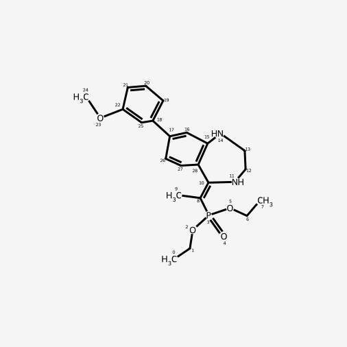 CCOP(=O)(OCC)C(C)=C1NCCNc2cc(-c3cccc(OC)c3)ccc21